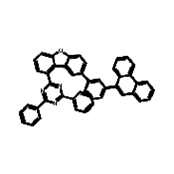 c1ccc(-c2nc(-c3ccccc3)nc(-c3cccc4oc5ccc(-c6cccc(-c7cc8ccccc8c8ccccc78)c6)cc5c34)n2)cc1